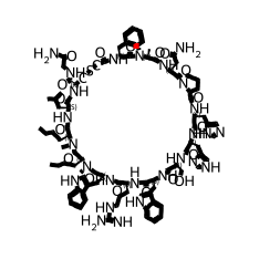 CCCC[C@H]1C(=O)N(C)[C@@H](CCCC)C(=O)N[C@@H](CC(C)C)C(=O)N[C@H](C(=O)NCC(N)=O)CSCC(=O)N[C@@H](Cc2ccccc2)C(=O)N(C)[C@@H](C)C(=O)N[C@@H](CC(N)=O)C(=O)N2CCCC2C(=O)N[C@@H](Cc2cnc[nH]2)C(=O)N[C@@H](Cc2c[nH]cn2)C(=O)N[C@@H](CO)C(=O)N[C@@H](Cc2c[nH]c3ccccc23)C(=O)N[C@@H](CCCNC(=N)N)C(=O)N[C@@H](Cc2c[nH]c3ccccc23)C(=O)N1C